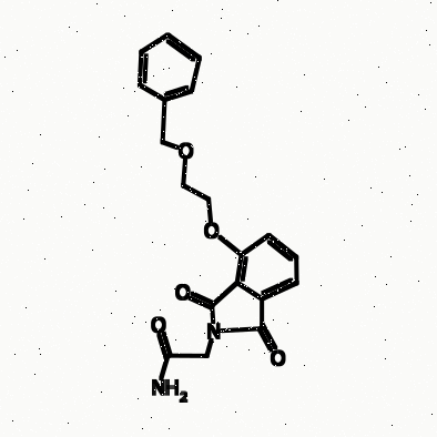 NC(=O)CN1C(=O)c2cccc(OCCOCc3ccccc3)c2C1=O